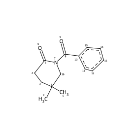 CC1(C)CCC(=O)N(C(=O)c2ccccc2)C1